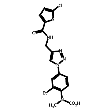 CCc1cc(-n2cc(CNC(=O)c3ccc(Cl)s3)nn2)ccc1N(C)C(=O)O